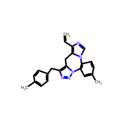 C=Cc1ncn2c1Cc1c(Cc3ccc(C)cc3)nnn1-c1cc(C)ccc1-2